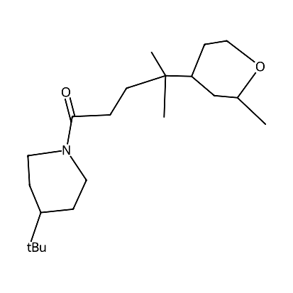 CC1CC(C(C)(C)CCC(=O)N2CCC(C(C)(C)C)CC2)CCO1